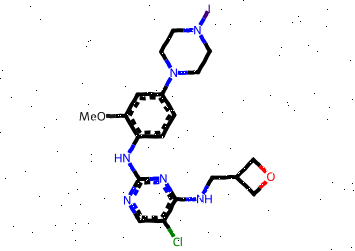 COc1cc(N2CCN(I)CC2)ccc1Nc1ncc(Cl)c(NCC2COC2)n1